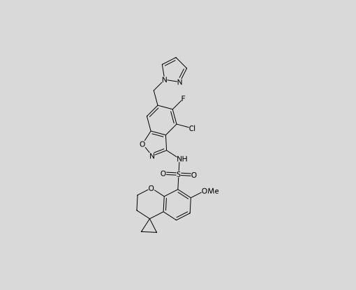 COc1ccc2c(c1S(=O)(=O)Nc1noc3cc(Cn4cccn4)c(F)c(Cl)c13)OCCC21CC1